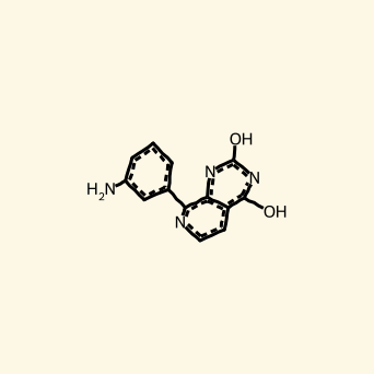 Nc1cccc(-c2nccc3c(O)nc(O)nc23)c1